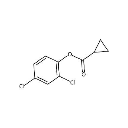 O=C(Oc1ccc(Cl)cc1Cl)C1CC1